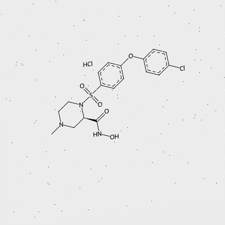 CN1CCN(S(=O)(=O)c2ccc(Oc3ccc(Cl)cc3)cc2)[C@@H](C(=O)NO)C1.Cl